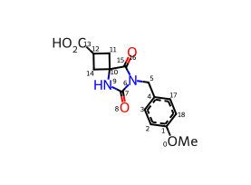 COc1ccc(CN2C(=O)NC3(CC(C(=O)O)C3)C2=O)cc1